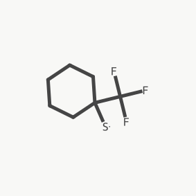 FC(F)(F)C1([S])CCCCC1